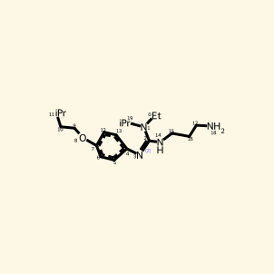 CCN(/C(=N\c1ccc(OCCC(C)C)cc1)NCCCN)C(C)C